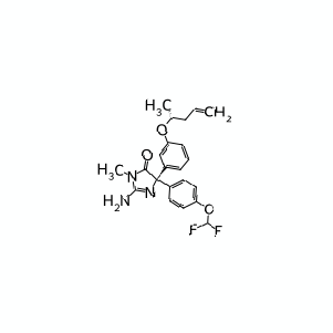 C=CC[C@@H](C)Oc1cccc([C@@]2(c3ccc(OC(F)F)cc3)N=C(N)N(C)C2=O)c1